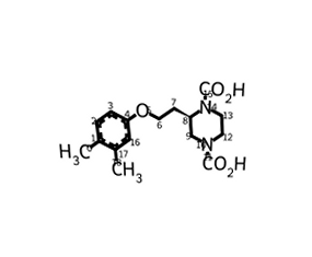 Cc1ccc(OCC[C@@H]2CN(C(=O)O)CCN2C(=O)O)cc1C